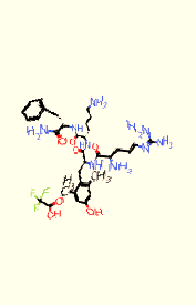 Cc1cc(O)cc(C)c1C[C@H](NC(=O)[C@H](N)CCCN=C(N)N)C(=O)N[C@@H](CCCCN)C(=O)N[C@@H](Cc1ccccc1)C(N)=O.O=C(O)C(F)(F)F